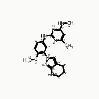 CNc1cc(C)nc(Nc2ccc(OC)c(-n3cc4c(n3)NCCC4)c2)n1